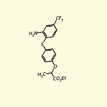 CCOC(=O)C(C)Oc1ccc(Sc2ccc(C(F)(F)F)cc2N)cc1